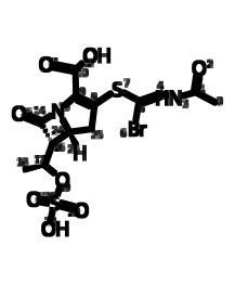 CC(=O)N/C=C(\Br)SC1=C(C(=O)O)N2C(=O)[C@@H]([C@H](C)OS(=O)(=O)O)[C@H]2C1